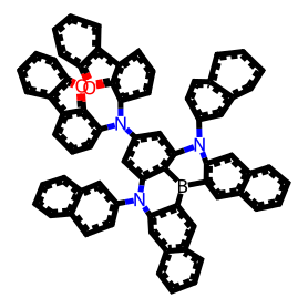 c1ccc2cc(N3c4cc5ccccc5cc4B4c5cc6ccccc6cc5N(c5ccc6ccccc6c5)c5cc(N(c6cccc7c6oc6ccccc67)c6cccc7c6oc6ccccc67)cc3c54)ccc2c1